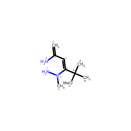 C=C(N)/C=C(\N(C)N)C(C)(C)OC